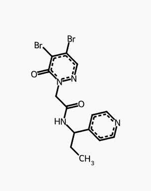 CCC(NC(=O)Cn1ncc(Br)c(Br)c1=O)c1ccncc1